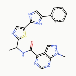 CC(NC(=O)c1ncnc2c1cnn2C)c1ncc(-c2ncc(-c3ccccc3)[nH]2)s1